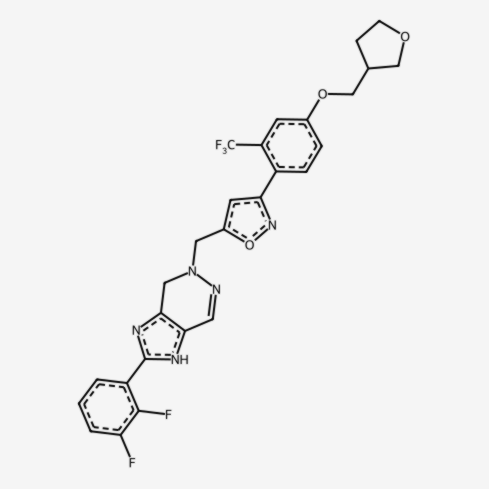 Fc1cccc(-c2nc3c([nH]2)C=NN(Cc2cc(-c4ccc(OCC5CCOC5)cc4C(F)(F)F)no2)C3)c1F